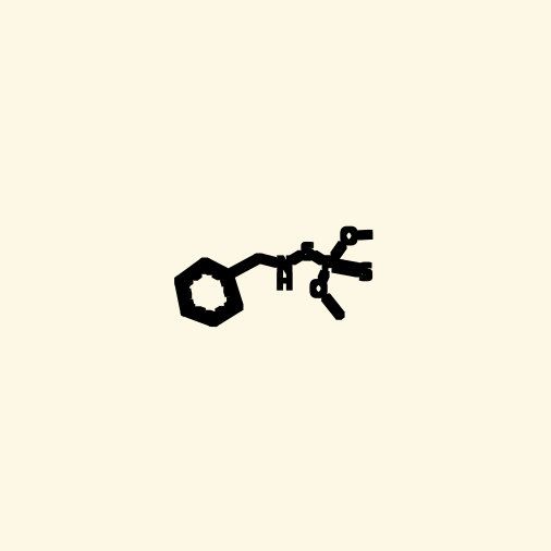 COP(=S)(OC)SNCc1ccccc1